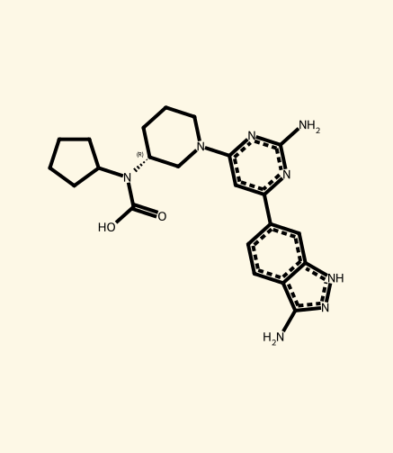 Nc1nc(-c2ccc3c(N)n[nH]c3c2)cc(N2CCC[C@@H](N(C(=O)O)C3CCCC3)C2)n1